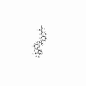 CN(C)C(=O)N1CCc2cnc(C(=O)Nc3cccc(-c4nnc5n4C(C)(C)CC5)n3)cc2C1